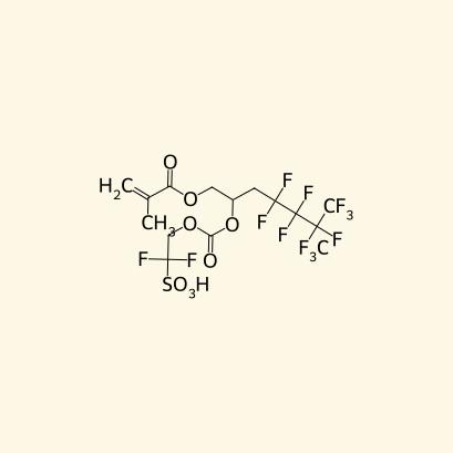 C=C(C)C(=O)OCC(CC(F)(F)C(F)(F)C(F)(C(F)(F)F)C(F)(F)F)OC(=O)OCC(F)(F)S(=O)(=O)O